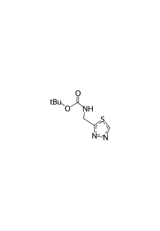 CC(C)(C)OC(=O)NCc1nncs1